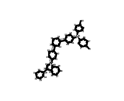 Cc1ccc(N(c2ccc(C)cc2)c2ccc(-c3cccc(-c4ccc(-n5cc(-c6ccccc6)c6ccccc65)cc4)c3)cc2)cc1